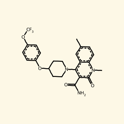 Cc1ccc2c(c1)c(N1CCC(Oc3ccc(OC(F)(F)F)cc3)CC1)c(C(N)=O)c(=O)n2C